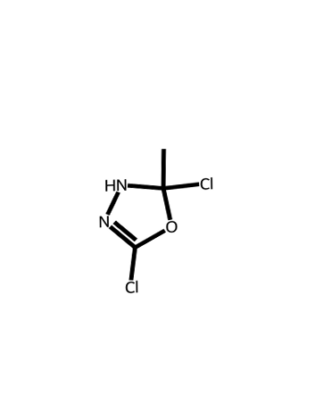 CC1(Cl)NN=C(Cl)O1